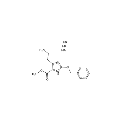 Br.Br.Br.COC(=O)c1[nH]c(SCc2ccccn2)nc1CCN